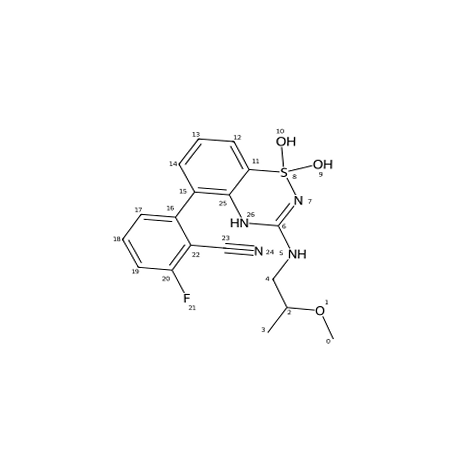 COC(C)CNC1=NS(O)(O)c2cccc(-c3cccc(F)c3C#N)c2N1